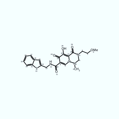 COCCN1CN(C)n2cc(C(=O)NCc3cc4ccccc4s3)c(=O)c(O)c2C1=O